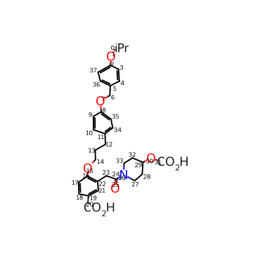 CC(C)Oc1ccc(COc2ccc(CCCOc3ccc(C(=O)O)cc3CC(=O)N3CCC(OC(=O)O)CC3)cc2)cc1